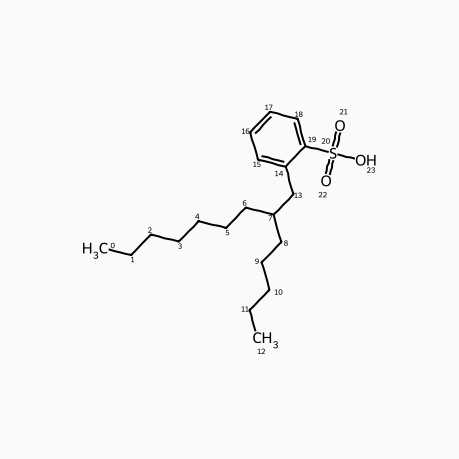 CCCCCCCC(CCCCC)Cc1ccccc1S(=O)(=O)O